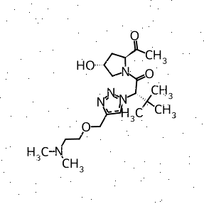 CC(=O)[C@@H]1C[C@@H](O)CN1C(=O)[C@@H](n1cc(COCCN(C)C)nn1)C(C)(C)C